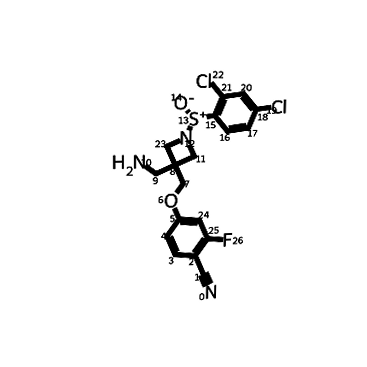 N#Cc1ccc(OCC2(CN)CN([S+]([O-])c3ccc(Cl)cc3Cl)C2)cc1F